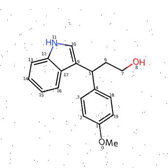 COc1ccc(C(CCO)c2c[nH]c3ccccc23)cc1